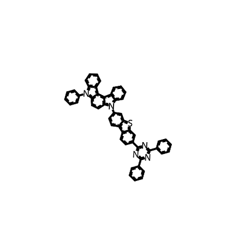 c1ccc(-c2nc(-c3ccccc3)nc(-c3ccc4c(c3)sc3cc(-n5c6ccccc6c6c7c8ccccc8n(-c8ccccc8)c7ccc65)ccc34)n2)cc1